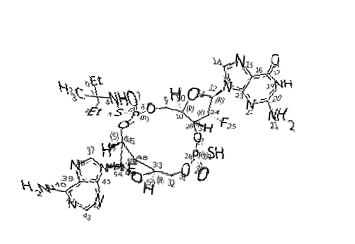 CCC(C)(CC)NS[P@]1(=O)OC[C@H]2O[C@@H](n3cnc4c(=O)[nH]c(N)nc43)[C@H](F)[C@@H]2O[P@](=O)(S)OC[C@H]2O[C@@H](n3cnc4c(N)ncnc43)[C@H](O1)[C@@H]2F